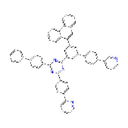 c1ccc(-c2ccc(-c3nc(-c4ccc(-c5ccccn5)cc4)nc(-c4cc(-c5ccc(-c6cccnc6)cc5)cc(-c5cc6ccccc6c6ccccc56)c4)n3)cc2)cc1